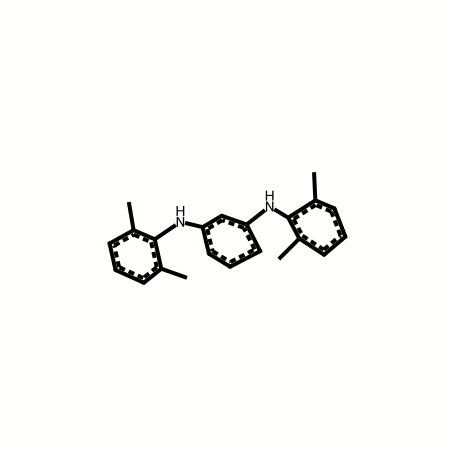 Cc1cccc(C)c1Nc1cccc(Nc2c(C)cccc2C)c1